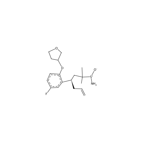 C=CC[C@H](CC(C)(C)[S+](N)[O-])c1cc(F)ccc1OC1CCOC1